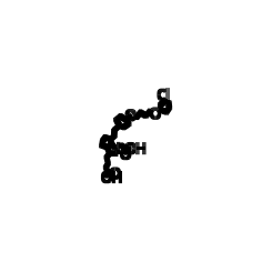 O=C(O)CCCc1cn(CC(=O)O)c2c(/C=C/c3ccc(OC/C=C/COc4cccc(Cl)c4)cc3)cccc12